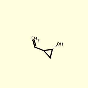 C=CC1C[C@H]1O